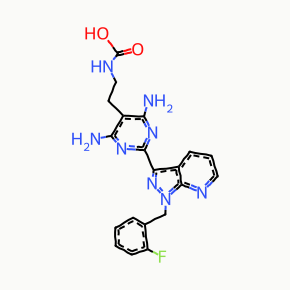 Nc1nc(-c2nn(Cc3ccccc3F)c3ncccc23)nc(N)c1CCNC(=O)O